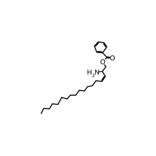 CCCCCCCCCCCCCC/C=C\[C@@H](N)COC(=O)c1ccccc1